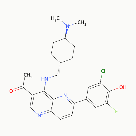 CC(=O)c1cnc2ccc(-c3cc(F)c(O)c(Cl)c3)nc2c1NC[C@H]1CC[C@H](N(C)C)CC1